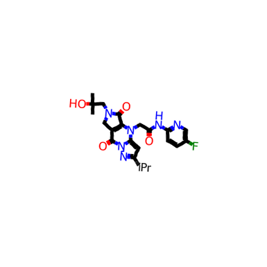 CC(C)c1cc2n(CC(=O)Nc3ccc(F)cn3)c3c(c(=O)n2n1)CN(CC(C)(C)O)C3=O